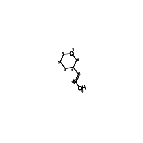 ON=CC1CCCOC1